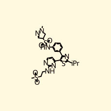 CC(C)c1nc(-c2cccc(NS(=O)(=O)C3C=NN(C)C3)c2)c(-c2ccnc(NCCS(C)(=O)=O)n2)s1